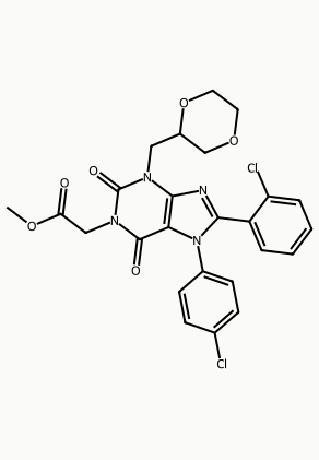 COC(=O)Cn1c(=O)c2c(nc(-c3ccccc3Cl)n2-c2ccc(Cl)cc2)n(CC2COCCO2)c1=O